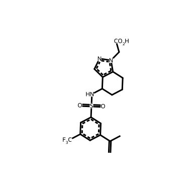 C=C(C)c1cc(C(F)(F)F)cc(S(=O)(=O)NC2CCCc3c2cnn3CC(=O)O)c1